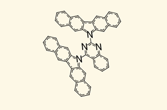 c1ccc2cc3c(cc2c1)c1cc2ccccc2cc1n3-c1nc(-n2c3cc4ccccc4cc3c3cc4ccccc4cc32)c2ccccc2n1